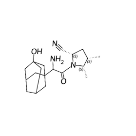 C[C@H]1C[C@@H](C#N)N(C(=O)C(N)C23CC4CC(CC(O)(C4)C2)C3)[C@H]1C